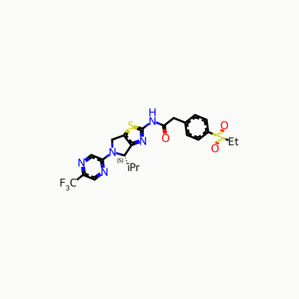 CCS(=O)(=O)c1ccc(CC(=O)Nc2nc3c(s2)CN(c2cnc(C(F)(F)F)cn2)[C@H]3C(C)C)cc1